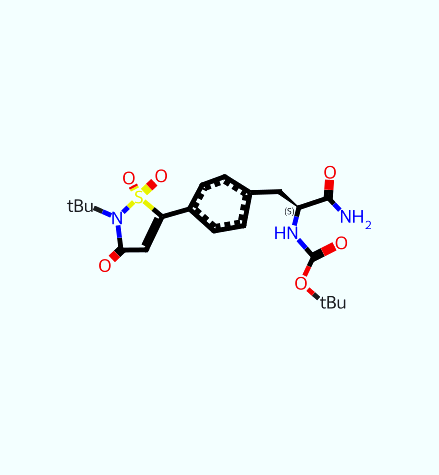 CC(C)(C)OC(=O)N[C@@H](Cc1ccc(C2=CC(=O)N(C(C)(C)C)S2(=O)=O)cc1)C(N)=O